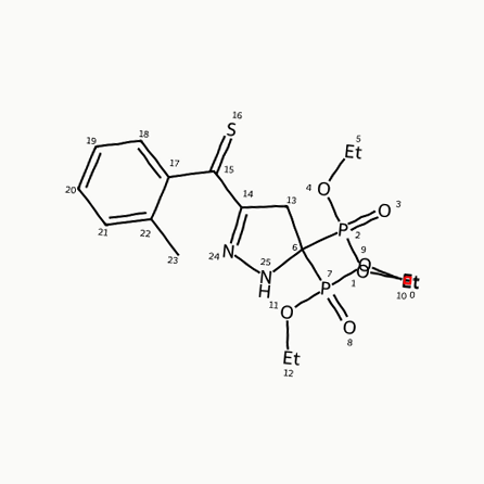 CCOP(=O)(OCC)C1(P(=O)(OCC)OCC)CC(C(=S)c2ccccc2C)=NN1